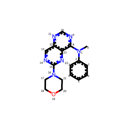 CN(c1ccccc1)c1ncnc2cnc(N3CCOCC3)nc12